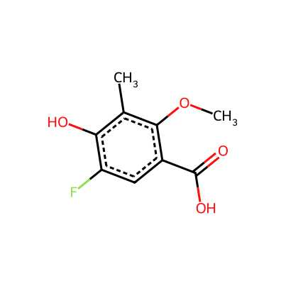 COc1c(C(=O)O)cc(F)c(O)c1C